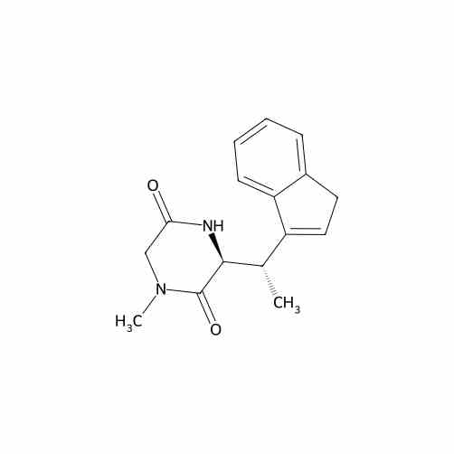 C[C@@H](C1=CCc2ccccc21)[C@@H]1NC(=O)CN(C)C1=O